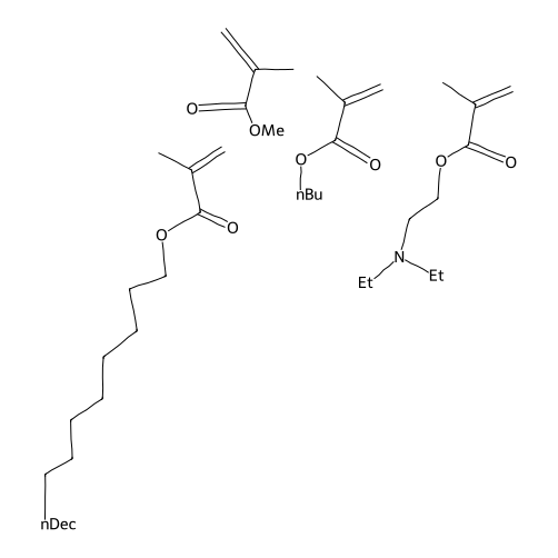 C=C(C)C(=O)OC.C=C(C)C(=O)OCCCC.C=C(C)C(=O)OCCCCCCCCCCCCCCCCCC.C=C(C)C(=O)OCCN(CC)CC